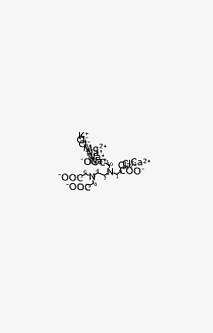 O=C([O-])CN(CCN(CC(=O)[O-])CC(=O)[O-])CC(=O)[O-].[Ca+2].[Cl-].[Cl-].[Cl-].[Cl-].[K+].[Mg+2].[Na+].[Na+].[Na+]